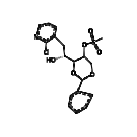 CS(=O)(=O)OC1COC(c2ccccc2)OC1[C@H](O)Cc1cccnc1Cl